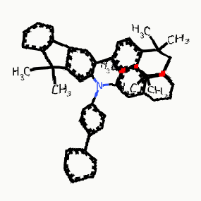 Cc1cc2c(cc1N(c1ccc(-c3ccccc3)cc1)c1cc3c(cc1-c1ccc4c(c1)C(C)(C)CCC4(C)C)-c1ccccc1C3(C)C)CCCC2